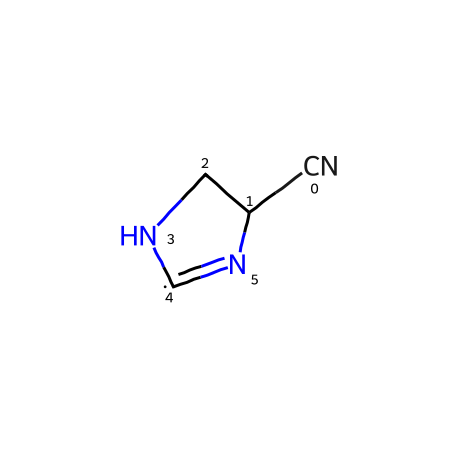 N#CC1CN[C]=N1